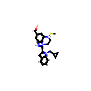 CSN1CCn2c(-c3cc4ccccc4n3CC3CC3)nc3cc(C=O)cc1c32